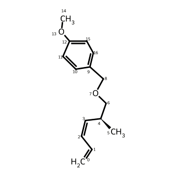 C=C/C=C\[C@H](C)COCc1ccc(OC)cc1